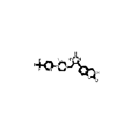 C[C@@H]1CN(CC2NNN=C2c2ccc3c(c2)CNC(=O)O3)CCN1c1ccc(C(F)(F)F)cn1